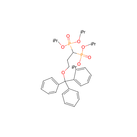 CC(C)OP(=O)(OC(C)C)C(CCOC(c1ccccc1)(c1ccccc1)c1ccccc1)P(=O)(OC(C)C)OC(C)C